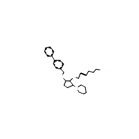 O=C(O)CCCC=CCOC1C(OCc2ccc(-c3ccccc3)cc2)CCC1N1CCCCC1